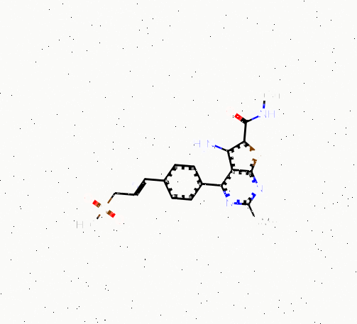 CSc1nc(-c2ccc(/C=C/CS(C)(=O)=O)cc2)c2c(N)c(C(=O)NC(C)(C)C)sc2n1